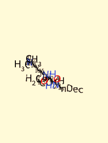 C=CC(=O)O.CCCCCCCCCCCCNC(=O)CCC(=O)NCCCCCCN(C)C